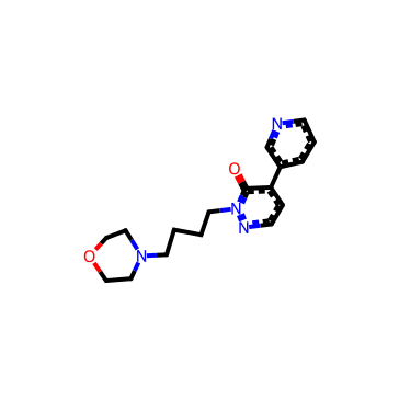 O=c1c(-c2cccnc2)ccnn1CCCCN1CCOCC1